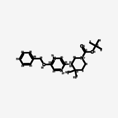 CC(C)(C)OC(=O)N1CCC(F)(F)[C@H](c2cnc(OCc3ccccc3)cn2)C1